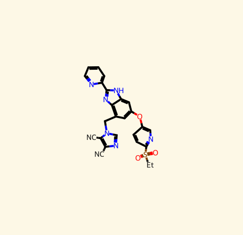 CCS(=O)(=O)c1ccc(Oc2cc(Cn3cnc(C#N)c3C#N)c3nc(-c4ccccn4)[nH]c3c2)cn1